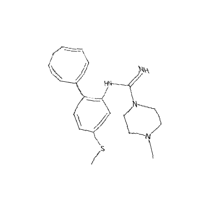 CSc1ccc(-c2ccccc2)c(NC(=N)N2CCN(C)CC2)c1